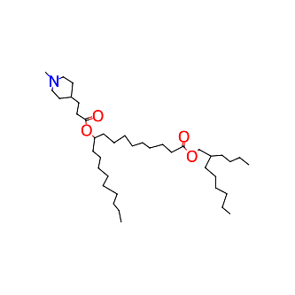 CCCCCCCCCC(CCCCCCCCC(=O)OCC(CCCC)CCCCCC)OC(=O)CCC1CCN(C)CC1